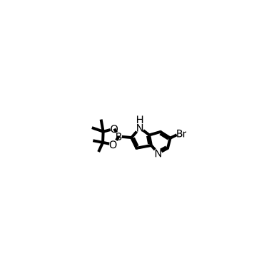 CC1(C)OB(c2cc3ncc(Br)cc3[nH]2)OC1(C)C